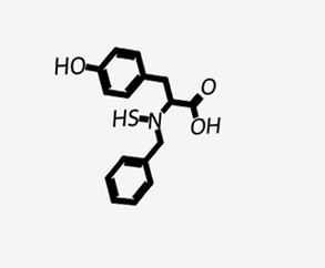 O=C(O)C(Cc1ccc(O)cc1)N(S)Cc1ccccc1